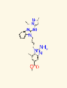 CCn1nc(C)cc1Nc1nc2ccccc2n1C/C=C/Cn1c(N)nc2cc(C(=O)OC)cc(C)c21